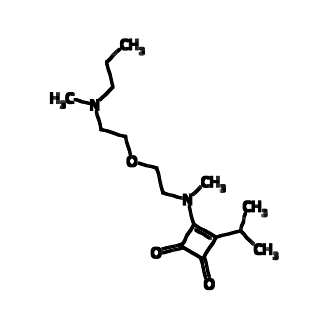 CCCN(C)CCOCCN(C)c1c(C(C)C)c(=O)c1=O